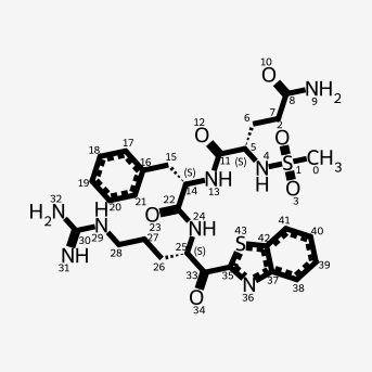 CS(=O)(=O)N[C@@H](CCC(N)=O)C(=O)N[C@@H](Cc1ccccc1)C(=O)N[C@@H](CCCNC(=N)N)C(=O)c1nc2ccccc2s1